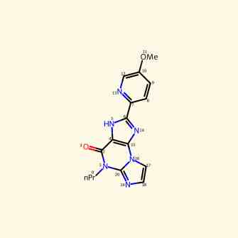 CCCn1c(=O)c2[nH]c(-c3ccc(OC)cn3)nc2n2ccnc12